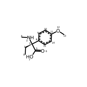 CC[C@](NC)(C(=O)O)c1ccc(OC)cc1